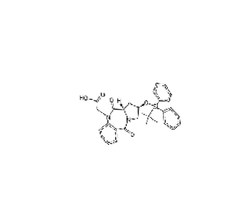 CC(C)(C)[Si](O[C@@H]1C[C@H]2C(=O)N(CC(=O)O)c3ccccc3C(=O)N2C1)(c1ccccc1)c1ccccc1